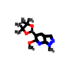 COc1nc2c(cnn2C)cc1B1OC(C)(C)C(C)(C)O1